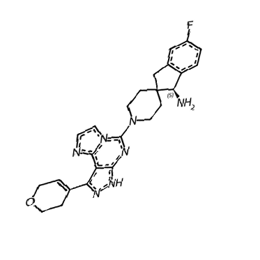 N[C@@H]1c2ccc(F)cc2CC12CCN(c1nc3[nH]nc(C4=CCOCC4)c3c3nccn13)CC2